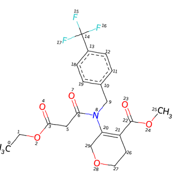 CCOC(=O)CC(=O)N(Cc1ccc(C(F)(F)F)cc1)C1=C(C(=O)OC)CCOC1